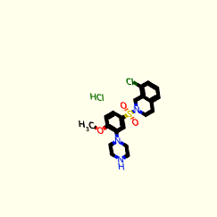 COc1ccc(S(=O)(=O)N2CCc3cccc(Cl)c3C2)cc1N1CCNCC1.Cl